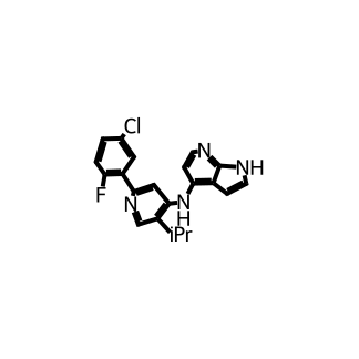 CC(C)c1cnc(-c2cc(Cl)ccc2F)cc1Nc1ccnc2[nH]ccc12